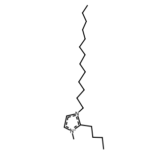 CCCCCCCCCCCCCn1cc[n+](C)c1CCCC